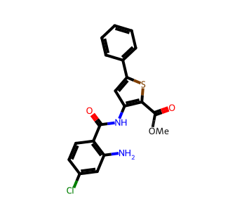 COC(=O)c1sc(-c2ccccc2)cc1NC(=O)c1ccc(Cl)cc1N